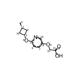 C[C@H]1C[C@@H](Oc2ccc(OCC(=O)O)cn2)C1